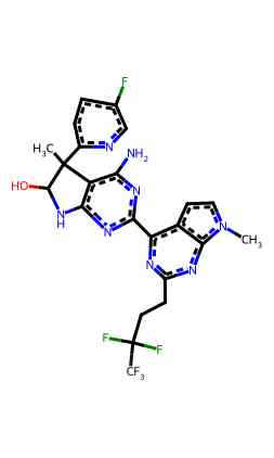 Cn1ccc2c(-c3nc(N)c4c(n3)NC(O)C4(C)c3ccc(F)cn3)nc(CCC(F)(F)C(F)(F)F)nc21